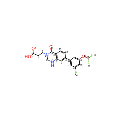 O=C(O)CCN1CNc2cc(-c3cc(F)cc(OC(F)F)c3)ccc2C1=O